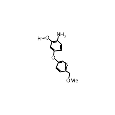 COCc1ccc(Oc2ccc(N)c(OC(C)C)c2)cn1